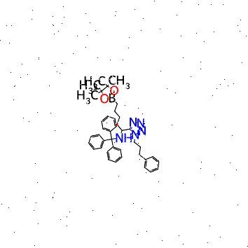 CC1(C)OB(CCCCC(NC(c2ccccc2)(c2ccccc2)c2ccccc2)c2nnnn2CCCc2ccccc2)OC1(C)C